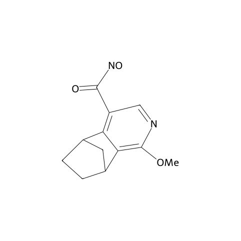 COc1ncc(C(=O)N=O)c2c1C1CCC2C1